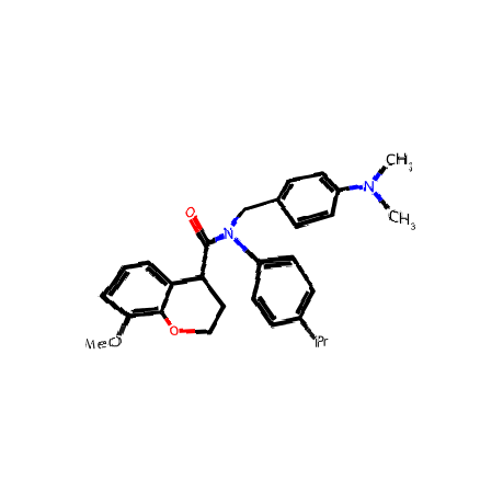 COc1cccc2c1OCCC2C(=O)N(Cc1ccc(N(C)C)cc1)c1ccc(C(C)C)cc1